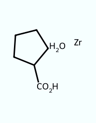 O.O=C(O)C1CCCC1.[Zr]